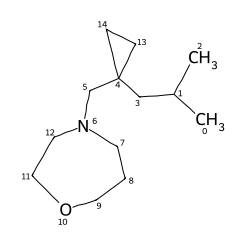 CC(C)CC1(CN2CCCOCC2)CC1